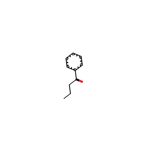 CCCC(=O)c1c[c]ccc1